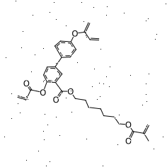 C=CC(=C)Oc1ccc(-c2ccc(OC(=O)C=C)c(C(=O)OCCCCCCCOC(=O)C(=C)C)c2)cc1